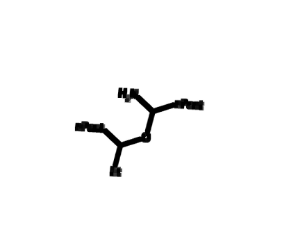 CCCCCC(N)OC(CC)CCCCC